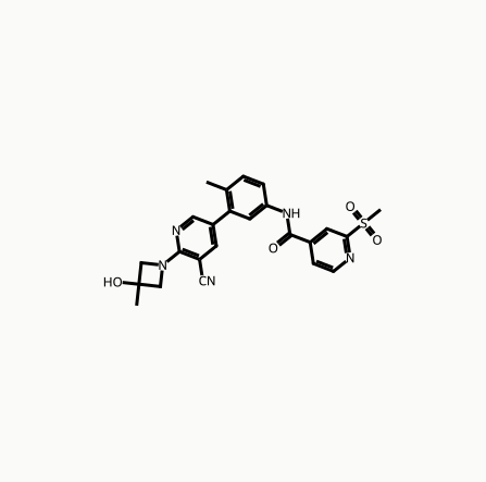 Cc1ccc(NC(=O)c2ccnc(S(C)(=O)=O)c2)cc1-c1cnc(N2CC(C)(O)C2)c(C#N)c1